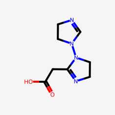 O=C(O)CC1=NCCN1N1C=NCC1